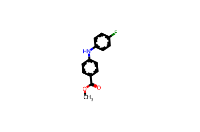 COC(=O)c1ccc(Nc2ccc(F)cc2)cc1